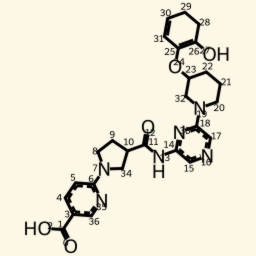 O=C(O)c1ccc(N2CCC(C(=O)Nc3cncc(N4CCCC(OC5=C(O)CCC=C5)C4)n3)C2)nc1